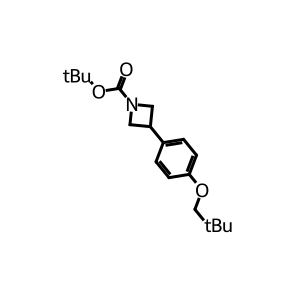 CC(C)(C)COc1ccc(C2CN(C(=O)OC(C)(C)C)C2)cc1